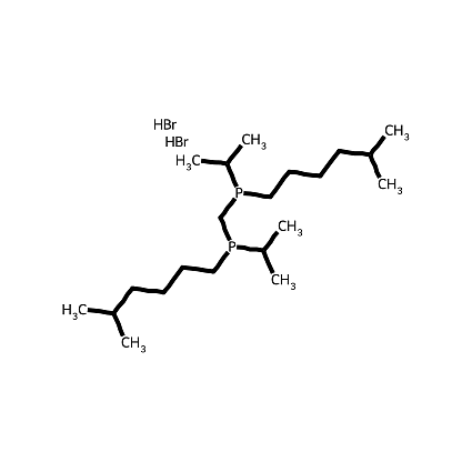 Br.Br.CC(C)CCCCP(CP(CCCCC(C)C)C(C)C)C(C)C